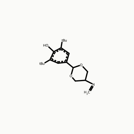 C=NC1COC(c2cc(C(C)(C)C)c(O)c(C(C)(C)C)c2)OC1